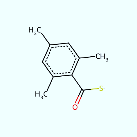 Cc1cc(C)c(C(=O)[S])c(C)c1